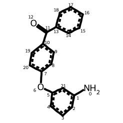 Nc1cccc(Oc2ccc(C(=O)c3ccccc3)cc2)c1